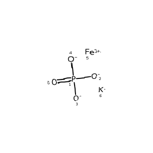 O=P([O-])([O-])[O-].[Fe+3].[K]